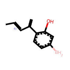 Bc1ccc(C(=C)/C=C/C)c(O)c1